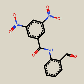 O=Cc1ccccc1NC(=O)c1cc([N+](=O)[O-])cc([N+](=O)[O-])c1